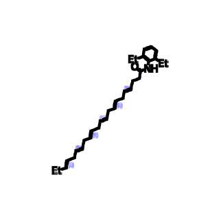 CC/C=C/C/C=C/C/C=C/C/C=C/C/C=C/C/C=C/CCC(=O)Nc1c(CC)cccc1CC